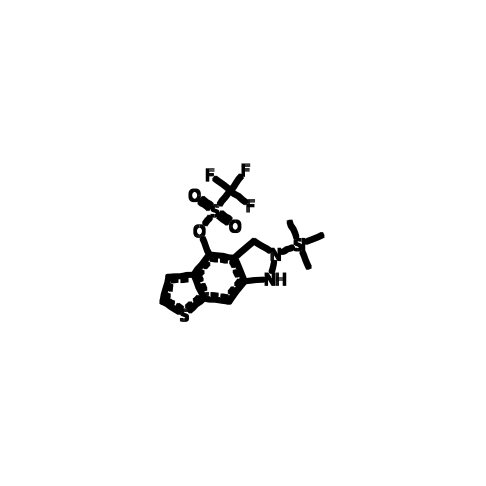 C[Si](C)(C)N1Cc2c(cc3sccc3c2OS(=O)(=O)C(F)(F)F)N1